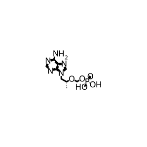 C[C@H](Cn1cnc2c(N)ncnc21)OCOP(=O)(O)O